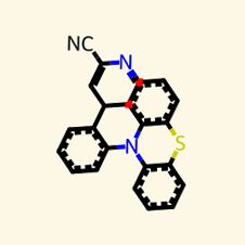 N#CC1=CC(c2ccccc2N2c3ccccc3Sc3ccccc32)CC=N1